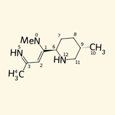 CN/C(=C\C(C)=N)[C@H]1CC[C@H](C)CN1